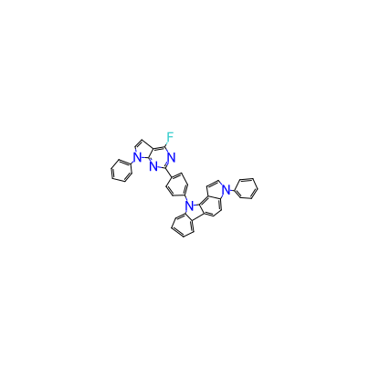 Fc1nc(-c2ccc(-n3c4ccccc4c4ccc5c(ccn5-c5ccccc5)c43)cc2)nc2c1ccn2-c1ccccc1